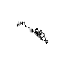 COc1ccc2c(c1)CC[C@@H]1[C@@H]2CC[C@]2(C)C(NCCCCCCNC(C)=O)CC[C@@H]12